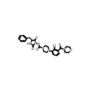 O=C(ON1C(=O)NC(Cc2ccccc2)C1=O)N1CCN(c2cccc(C(=O)N3CCOCC3)c2Cl)CC1